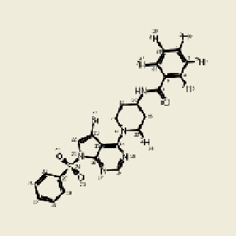 [2H]c1c([2H])c([2H])c(C(=O)NC2CCN(c3ncnc4c3c(Br)cn4S(=O)(=O)c3ccccc3)C([2H])C2)c([2H])c1[2H]